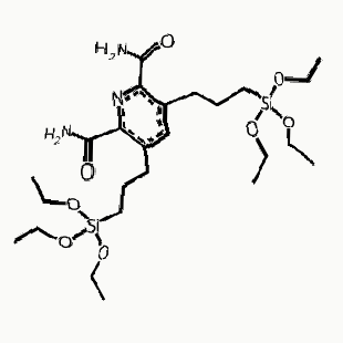 CCO[Si](CCCc1cc(CCC[Si](OCC)(OCC)OCC)c(C(N)=O)nc1C(N)=O)(OCC)OCC